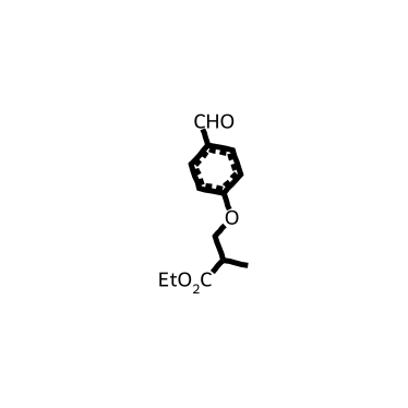 CCOC(=O)C(C)COc1ccc(C=O)cc1